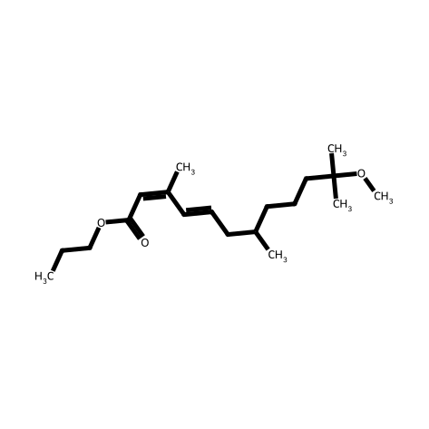 CCCOC(=O)C=C(C)C=CCC(C)CCCC(C)(C)OC